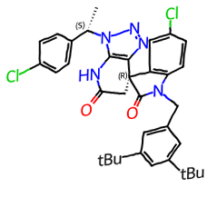 C[C@@H](c1ccc(Cl)cc1)n1nnc2c1NC(=O)C[C@]21C(=O)N(Cc2cc(C(C)(C)C)cc(C(C)(C)C)c2)c2ccc(Cl)cc21